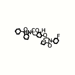 O=C(c1ccccc1)c1ccccc1N[C@@H](Cc1ccc(OCCN(C(=O)c2cccs2)c2cccc(F)c2)cc1)C(=O)O